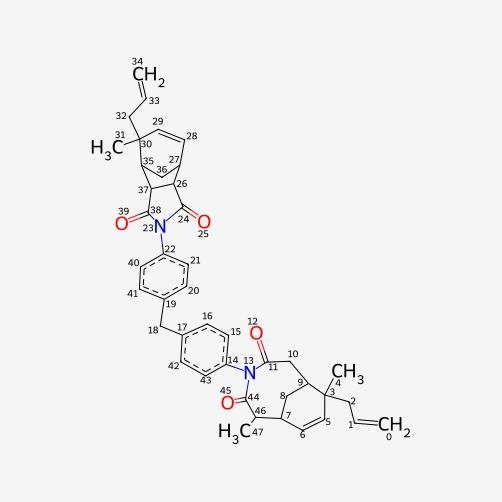 C=CCC1(C)C=CC2CC1CC(=O)N(c1ccc(Cc3ccc(N4C(=O)C5C6C=CC(C)(CC=C)C(C6)C5C4=O)cc3)cc1)C(=O)C2C